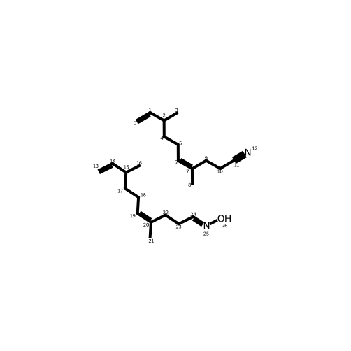 C=CC(C)CCC=C(C)CCC#N.C=CC(C)CCC=C(C)CCC=NO